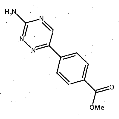 COC(=O)c1ccc(-c2cnc(N)nn2)cc1